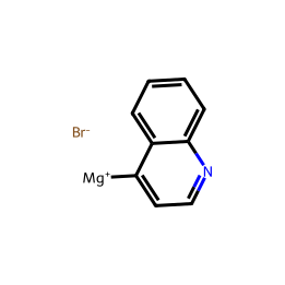 [Br-].[Mg+][c]1ccnc2ccccc12